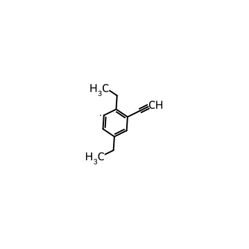 C#Cc1cc(CC)c[c]c1CC